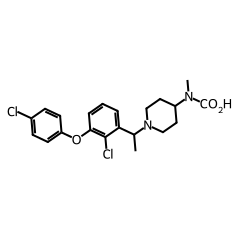 CC(c1cccc(Oc2ccc(Cl)cc2)c1Cl)N1CCC(N(C)C(=O)O)CC1